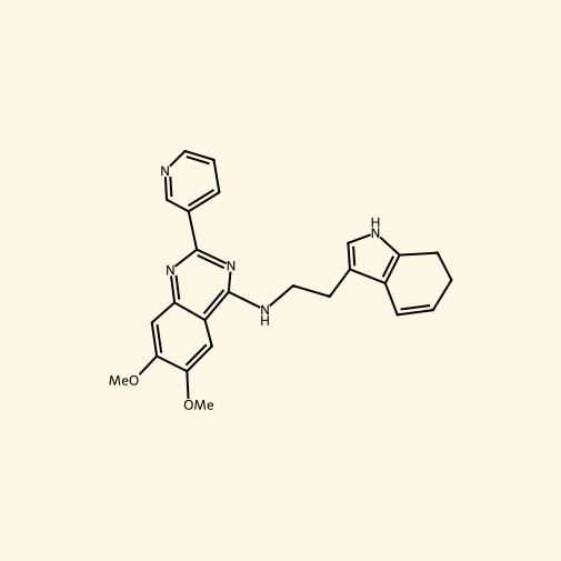 COc1cc2nc(-c3cccnc3)nc(NCCc3c[nH]c4c3C=CCC4)c2cc1OC